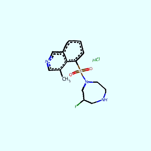 Cc1cncc2cccc(S(=O)(=O)N3CCNCC(F)C3)c12.Cl